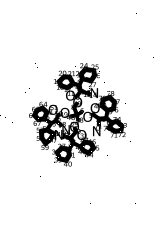 N#CC(C(=O)OCC(COC(=O)C(C#N)=C(c1ccccc1)c1ccccc1)(COC(=O)C(C#N)=C(c1ccccc1)c1ccccc1)COC(=O)C(C#N)C(c1ccccc1)c1ccccc1)=C(c1ccccc1)c1ccccc1